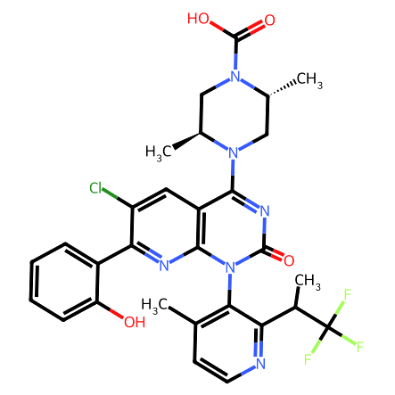 Cc1ccnc(C(C)C(F)(F)F)c1-n1c(=O)nc(N2C[C@@H](C)N(C(=O)O)C[C@@H]2C)c2cc(Cl)c(-c3ccccc3O)nc21